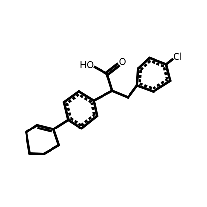 O=C(O)C(Cc1ccc(Cl)cc1)c1ccc(C2=CCCCC2)cc1